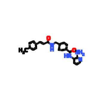 Cc1ccc(C=CC(=O)NCc2ccc(C(=O)Nc3cccnc3N)cc2)cc1